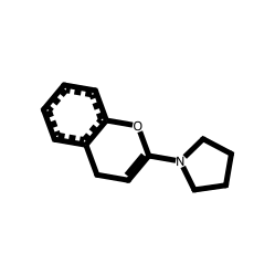 C1=C(N2CCCC2)Oc2ccccc2C1